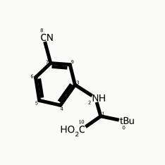 CC(C)(C)C(Nc1cccc(C#N)c1)C(=O)O